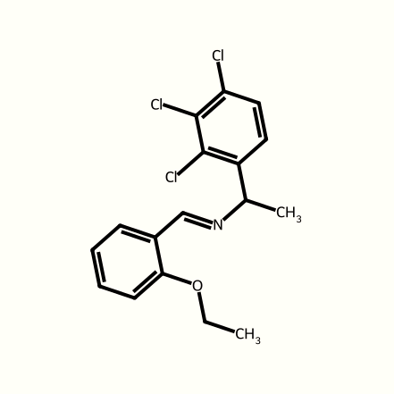 CCOc1ccccc1/C=N/C(C)c1ccc(Cl)c(Cl)c1Cl